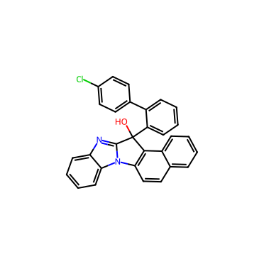 OC1(c2ccccc2-c2ccc(Cl)cc2)c2c(ccc3ccccc23)-n2c1nc1ccccc12